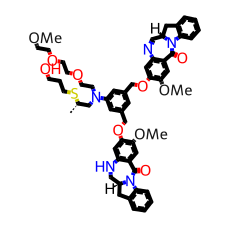 COCCOCCOCCN(C[C@H](C)SCCCO)c1cc(COc2cc3c(cc2OC)C(=O)N2c4ccccc4C[C@H]2C=N3)cc(COc2cc3c(cc2OC)C(=O)N2c4ccccc4C[C@H]2CN3)c1